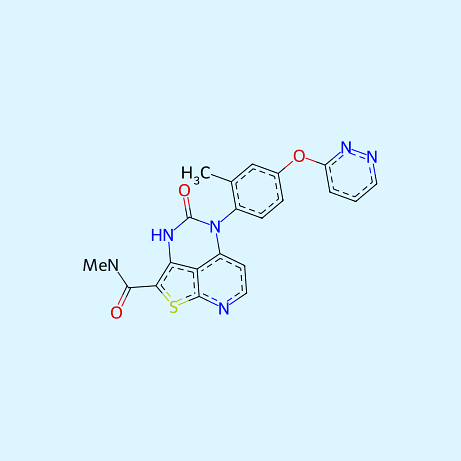 CNC(=O)c1sc2nccc3c2c1NC(=O)N3c1ccc(Oc2cccnn2)cc1C